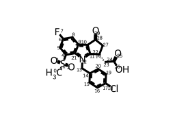 CS(=O)(=O)c1cc(F)cc2c3c(n(Cc4ccc(Cl)cc4)c12)[C@@H](CC(=O)O)CC3=O